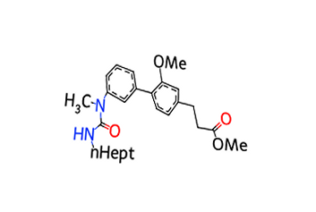 CCCCCCCNC(=O)N(C)c1cccc(-c2ccc(CCC(=O)OC)cc2OC)c1